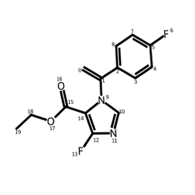 C=C(c1ccc(F)cc1)n1cnc(F)c1C(=O)OCC